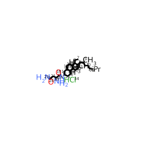 CC(C)CCC[C@@H](C)[C@H]1CC[C@H]2[C@@H]3CCC4C[C@H](NC(=O)[C@@H](N)CC(N)=O)CC[C@]4(C)[C@H]3CC[C@]12C.Cl